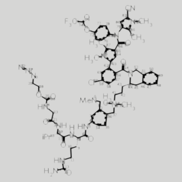 CNCc1cc(NC(=O)[C@H](CCCNC(N)=O)NC(=O)[C@@H](NC(=O)CNC(=O)OCCN=[N+]=[N-])C(C)C)ccc1C[N+](C)(C)CCC[C@@H]1Cc2ccccc2CN1C(=O)c1ccc(Cl)cc1-c1cc(C(=O)N(c2ccc(OC(=O)C(F)(F)F)cc2)c2cc(C#N)n(C)c2C)c(C)n1C